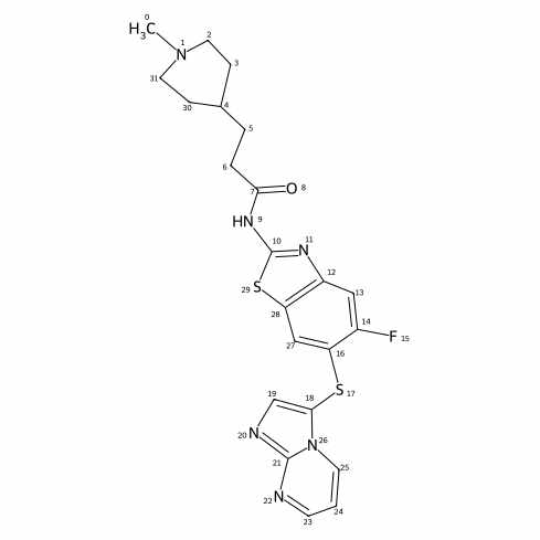 CN1CCC(CCC(=O)Nc2nc3cc(F)c(Sc4cnc5ncccn45)cc3s2)CC1